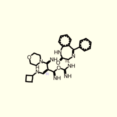 N=C(N[C@H]1N=C(c2ccccc2)c2ccccc2NC1=O)OC(=N)/C(=C/NC1CCC1)C(=N)N1CCOCC1